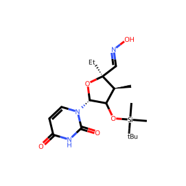 CC[C@@]1(/C=N/O)O[C@@H](n2ccc(=O)[nH]c2=O)C(O[Si](C)(C)C(C)(C)C)[C@@H]1C